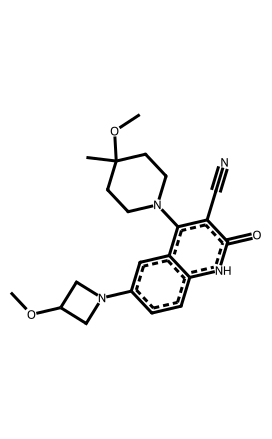 COC1CN(c2ccc3[nH]c(=O)c(C#N)c(N4CCC(C)(OC)CC4)c3c2)C1